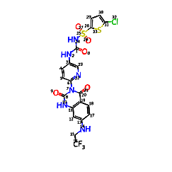 O=C(Nc1ccc(-n2c(=O)[nH]c3cc(NCC(F)(F)F)ccc3c2=O)nc1)NS(=O)(=O)c1ccc(Cl)s1